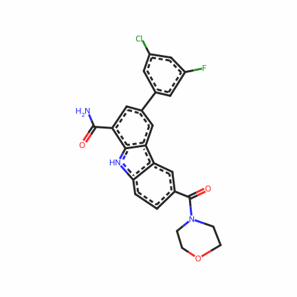 NC(=O)c1cc(-c2cc(F)cc(Cl)c2)cc2c1[nH]c1ccc(C(=O)N3CCOCC3)cc12